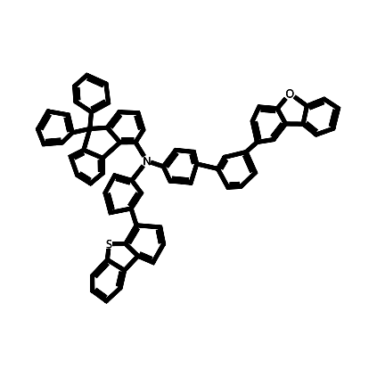 c1ccc(C2(c3ccccc3)c3ccccc3-c3c(N(c4ccc(-c5cccc(-c6ccc7oc8ccccc8c7c6)c5)cc4)c4cccc(-c5cccc6c5sc5ccccc56)c4)cccc32)cc1